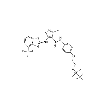 Cc1nsc(Nc2nc3c(C(F)(F)F)cccc3s2)c1C(=O)Nc1ccc(OCCO[Si](C)(C)C(C)(C)C)nc1